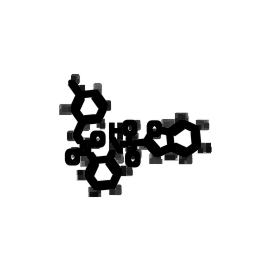 Cc1cccc(CS(=O)(=O)c2ccccc2NS(=O)(=O)c2cc3ccccc3o2)c1